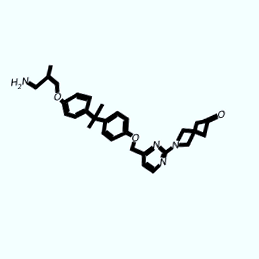 CC(CN)COc1ccc(C(C)(C)c2ccc(OCc3ccnc(N4CC5(CC(=O)C5)C4)n3)cc2)cc1